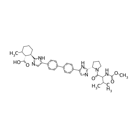 COC(=O)NC(C(=O)N1CCC[C@H]1c1ncc(-c2ccc(-c3ccc(-c4cnc([C@@H]5CCCC(C)[C@H]5C(=O)O)[nH]4)cc3)cc2)[nH]1)C(C)C